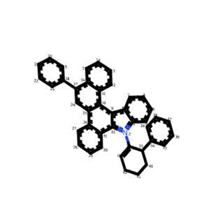 C1=C(n2c3ccccc3c3c4c5ccccc5c(-c5ccccc5)cc4c4ccccc4c32)C(c2ccccc2)CCC1